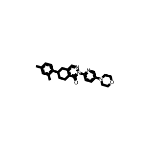 Cc1ccc(C2CCc3c(cnn(-c4ccc(N5CCOCC5)cn4)c3=O)C2)c(C)c1